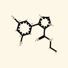 CCOC(=O)c1ncsc1-c1cc(F)cc(Cl)c1